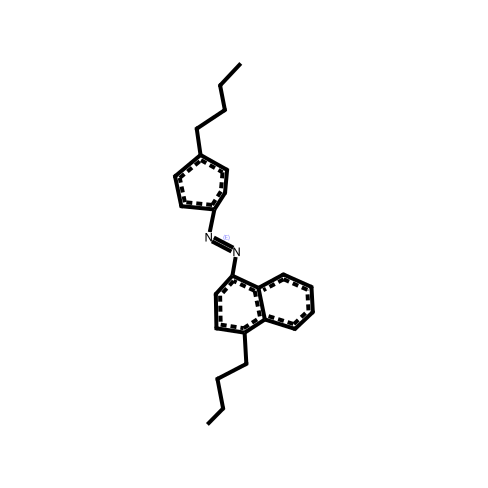 CCCCc1ccc(/N=N/c2ccc(CCCC)c3ccccc23)cc1